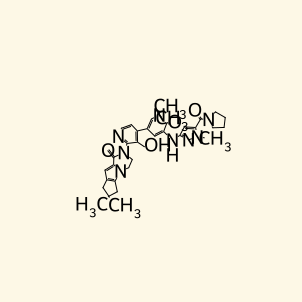 CN(C)/C=C(\C=C(/C=O)Nc1cc(C(=O)N2CCCC2)n(C)n1)c1ccnc(N2CCn3c(cc4c3CC(C)(C)C4)C2=O)c1CO